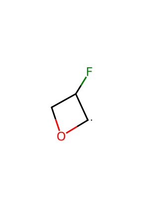 FC1[CH]OC1